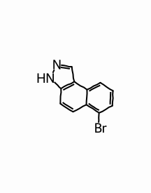 Brc1cccc2c1ccc1[nH]ncc12